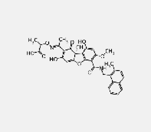 COc1cc(O)c2c(c1C(=O)NCc1c(C)ccc3ccccc13)OC1=CC(O)=C(C(C)=NOC(C)C(=O)O)C(=O)[C@]12C